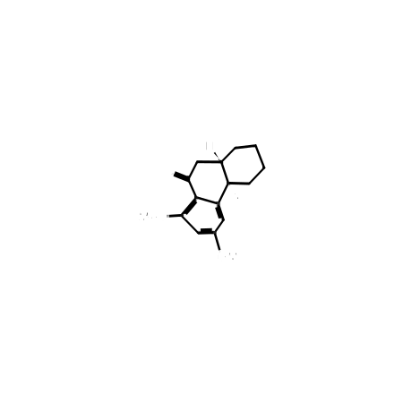 COc1cc(OC)c2c(c1)[C@@H]1CCCC[C@H]1CC2=O